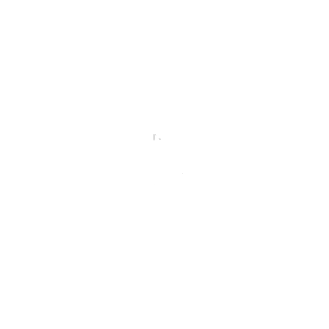 C=C(CC)[C@@]1(C(=O)O)CCCN1